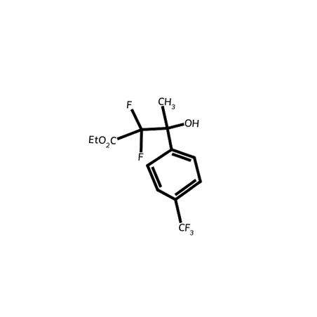 CCOC(=O)C(F)(F)C(C)(O)c1ccc(C(F)(F)F)cc1